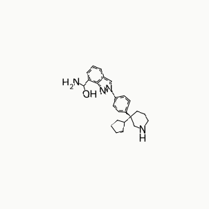 NC(O)c1cccc2cn(-c3ccc([C@@]4(C5CCCC5)CCCNC4)cc3)nc12